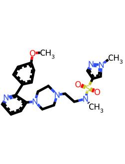 COc1ccc(-c2ncccc2N2CCN(CCN(C)S(=O)(=O)c3cnn(C)c3)CC2)cc1